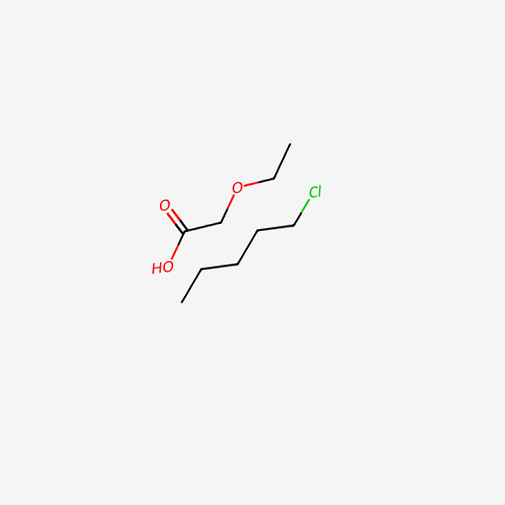 CCCCCCl.CCOCC(=O)O